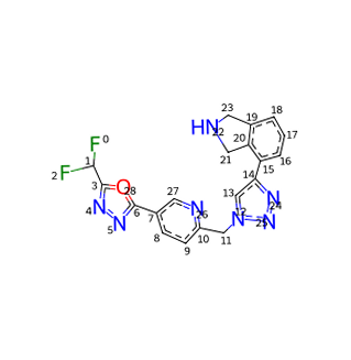 FC(F)c1nnc(-c2ccc(Cn3cc(-c4cccc5c4CNC5)nn3)nc2)o1